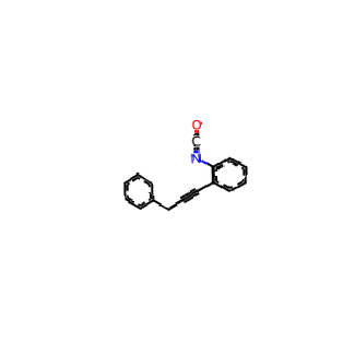 O=C=Nc1ccccc1C#CCc1ccccc1